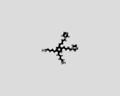 SCCCCc1cc(CCCCn2ccnc2)c(CCCCn2ccnc2)cc1CCCCS